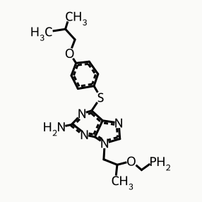 CC(C)COc1ccc(Sc2nc(N)nc3c2ncn3CC(C)OCP)cc1